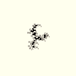 CC(C)(C)C(=O)O.Cc1nnn(CC2=C(C(=O)O)N3C(=O)[C@@H](NC(=O)/C(=N\OC(C)(C)C(=O)OC(C)(C)C)c4csc(N)n4)[C@H]3SC2)n1.Cl